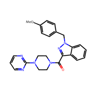 COc1ccc(Cn2nc(C(=O)N3CCN(c4ncccn4)CC3)c3ccccc32)cc1